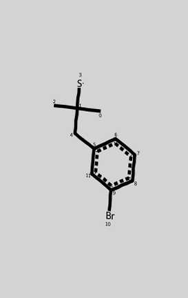 CC(C)([S])Cc1cccc(Br)c1